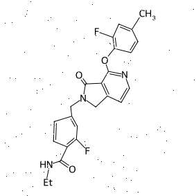 CCNC(=O)c1ccc(CN2Cc3ccnc(Oc4ccc(C)cc4F)c3C2=O)cc1F